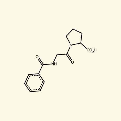 O=C(NCC(=O)N1CCCC1C(=O)O)c1ccccc1